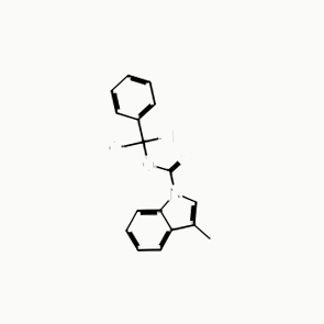 [CH2]c1cn(C(=O)OC(Cl)(Cl)c2ccccc2)c2ccccc12